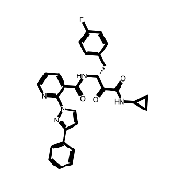 O=C(NC1CC1)C(=O)[C@@H](Cc1ccc(F)cc1)NC(=O)c1cccnc1-n1ccc(-c2ccccc2)n1